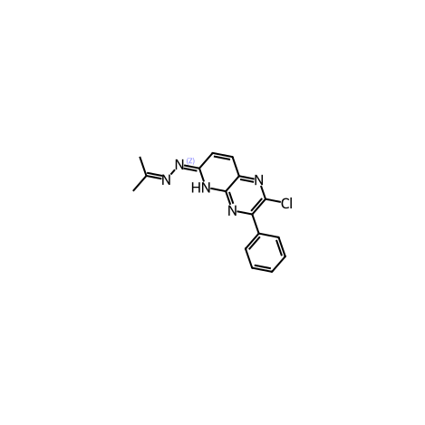 CC(C)=N/N=c1/ccc2nc(Cl)c(-c3ccccc3)nc2[nH]1